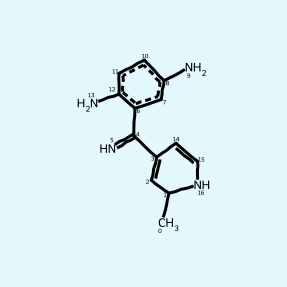 CC1C=C(C(=N)c2cc(N)ccc2N)C=CN1